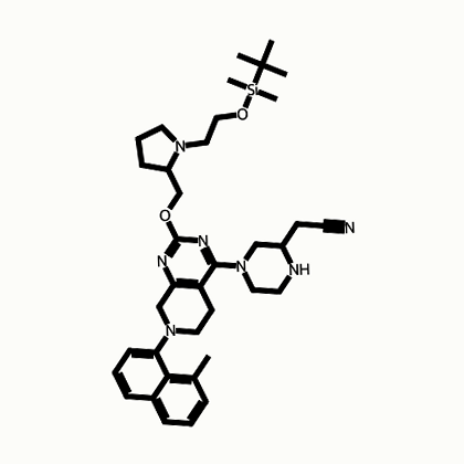 Cc1cccc2cccc(N3CCc4c(nc(OCC5CCCN5CCO[Si](C)(C)C(C)(C)C)nc4N4CCNC(CC#N)C4)C3)c12